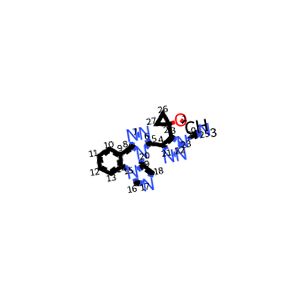 COC1(c2c(-c3nnc4c5ccccc5n5cncc5n34)nnn2C#N)CC1